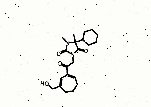 CN1C(=O)N(CC(=O)C2=CCCCC(CO)=C2)C(=O)C1(C)C1CCCCC1